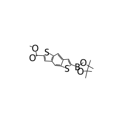 COC(=O)c1cc2cc3sc(B4OC(C)(C)C(C)(C)O4)cc3cc2s1